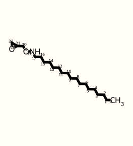 CCCCCCCCCCCCCCCCCCNOCC1CO1